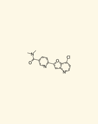 CN(C)C(=O)c1ccc(-c2cc3nccc(Cl)c3o2)nc1